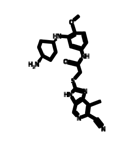 COc1ccc(NC(=O)CSc2nc3c(C)c(C#N)ncc3[nH]2)cc1N[C@H]1CC[C@H](N)CC1